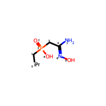 CC(C)CP(=O)(O)CC(N)=NO